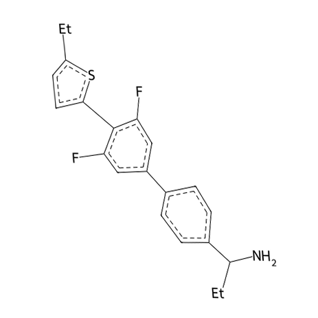 CCc1ccc(-c2c(F)cc(-c3ccc(C(N)CC)cc3)cc2F)s1